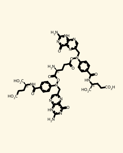 Nc1nc(=O)c2nc(CN(OC(=O)CC[C@H](N)C(=O)ON(Cc3cnc4[nH]c(N)nc(=O)c4n3)c3ccc(C(=O)N[C@@H](CCC(=O)O)C(=O)O)cc3)c3ccc(C(=O)N[C@@H](CCC(=O)O)C(=O)O)cc3)cnc2[nH]1